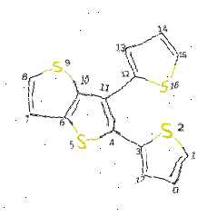 c1csc(-c2sc3ccsc3c2-c2cccs2)c1